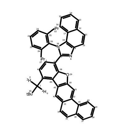 [2H]C([2H])(c1ccc(-c2nc3ccc4ccccc4c3n2-c2c(C(C)C)cccc2C(C)C)c2oc3cc4c(ccc5ccccc54)cc3c12)C(C)(C)C